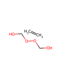 C=C.OCOOCO